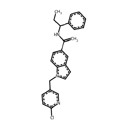 C=C(NC(CC)c1ccccc1)c1ccc2c(ccn2Cc2ccc(Cl)nc2)c1